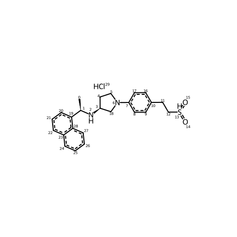 C[C@@H](N[C@H]1CCN(c2ccc(CC[SH](=O)=O)cc2)C1)c1cccc2ccccc12.Cl